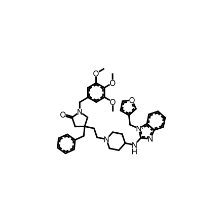 COc1cc(CN2CC(CCN3CCC(Nc4nc5ccccc5n4Cc4ccoc4)CC3)(Cc3ccccc3)CC2=O)cc(OC)c1OC